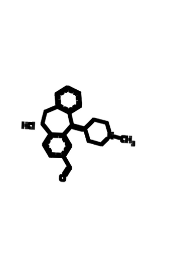 CN1CCC(=C2c3ccccc3CCc3ccc(C=O)cc32)CC1.Cl